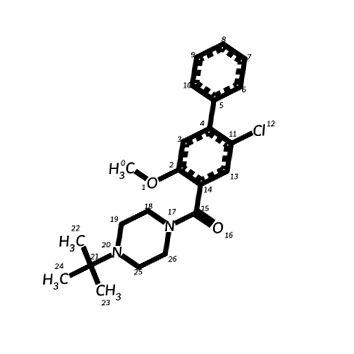 COc1cc(-c2ccccc2)c(Cl)cc1C(=O)N1CCN(C(C)(C)C)CC1